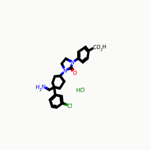 Cl.NCC1(c2cccc(Cl)c2)CCC(N2CCN(c3ccc(C(=O)O)cc3)C2=O)CC1